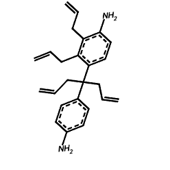 C=CCc1c(N)ccc(C(CC=C)(CC=C)c2ccc(N)cc2)c1CC=C